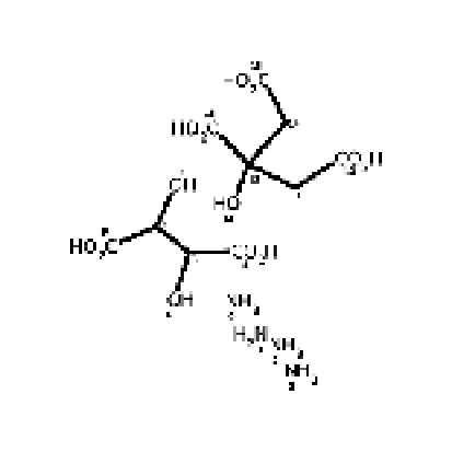 N.N.N.N.O=C(O)C(O)C(O)C(=O)O.O=C(O)CC(O)(CC(=O)O)C(=O)O